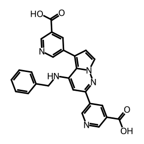 O=C(O)c1cncc(-c2cc(NCc3ccccc3)c3c(-c4cncc(C(=O)O)c4)ccn3n2)c1